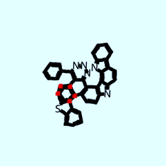 c1ccc(-c2nnnc(-c3c(-c4cccc5sc6ccccc6c45)ccc4c3-c3c5c(ccc3=N4)=c3ccccc3=N5)c2-c2ccccc2)cc1